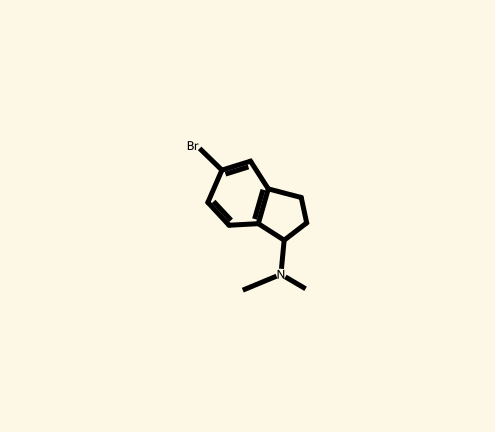 CN(C)C1CCc2cc(Br)ccc21